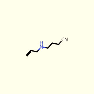 C=CCNCCCC#N